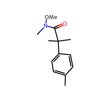 CON(C)C(=O)C(C)(C)c1ccc(C)cc1